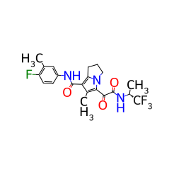 Cc1cc(NC(=O)c2c(C)c(C(=O)C(=O)N[C@@H](C)C(F)(F)F)n3c2CCC3)ccc1F